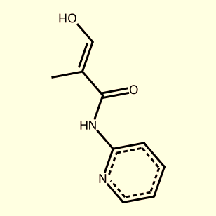 C/C(=C\O)C(=O)Nc1ccccn1